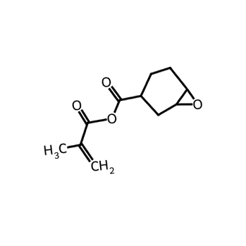 C=C(C)C(=O)OC(=O)C1CCC2OC2C1